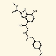 COC(=O)c1cc2c(C(O)CNC(C)Cc3ccc(OC)cc3)ccc(O)c2[nH]1